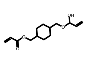 C=CC(=O)OCC1CCC(COC(O)C=C)CC1